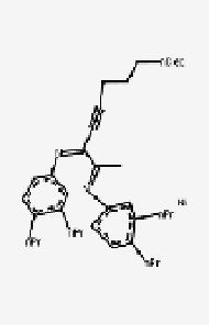 CCCCCCCCCCCCCC#CC(=Nc1ccc(CCC)c(CCC)c1)C(C)=Nc1ccc(CCC)c(CCC)c1.[Ni]